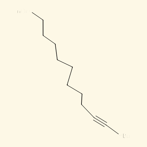 [CH2]CCCC#CCCCCCCCCCCCCCCC[CH2]